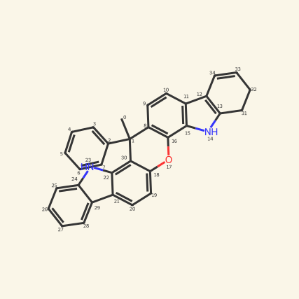 CC1(c2ccccc2)c2ccc3c4c([nH]c3c2Oc2ccc3c([nH]c5ccccc53)c21)CCC=C4